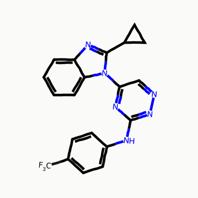 FC(F)(F)c1ccc(Nc2nncc(-n3c(C4CC4)nc4ccccc43)n2)cc1